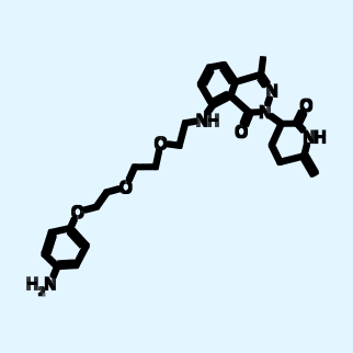 C=C1CCC(n2nc(C)c3cccc(NCCOCCOCCOc4ccc(N)cc4)c3c2=O)C(=O)N1